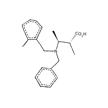 Cc1ccccc1CN(Cc1ccccc1)[C@@H](C)[C@@H](C)C(=O)O